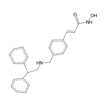 O=C(/C=C/c1ccc(CNCC(c2ccccc2)c2ccccc2)cc1)NO